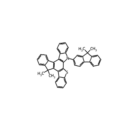 CC1(C)c2ccccc2-c2ccc(-n3c4ccccc4c4c5c(c6c7ccccc7sc6c43)C(C)(C)c3ccccc3-5)cc21